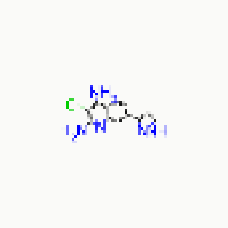 Nc1nc2cc(-c3cc[nH]n3)ccc2c(N)c1Cl